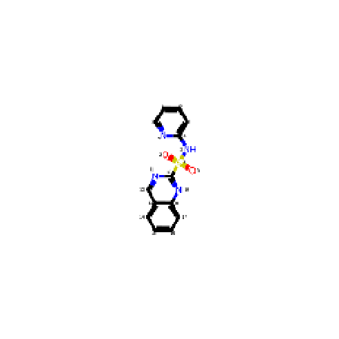 O=S(=O)(Nc1ccccn1)c1ncc2ccccc2n1